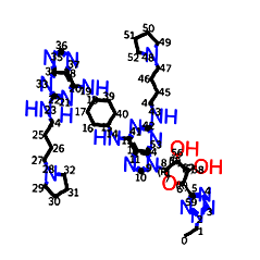 CCn1nnc([C@H]2O[C@@H](n3cnc4c(N[C@H]5CC[C@H](Nc6[nH]c(NCCCCN7CCCC7)nc7ncnc6-7)CC5)nc(NCCCCN5CCCC5)nc43)[C@H](O)[C@@H]2O)n1